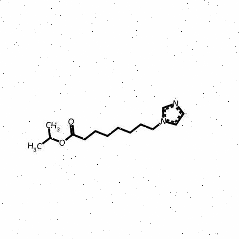 CC(C)OC(=O)CCCCCCCn1c[c]nc1